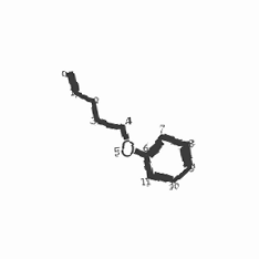 C=[C]CCCOc1ccccc1